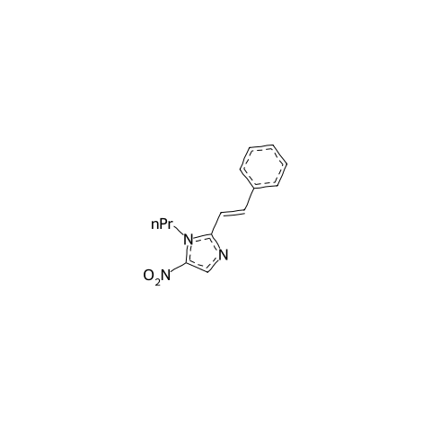 CCCn1c([N+](=O)[O-])cnc1C=Cc1ccccc1